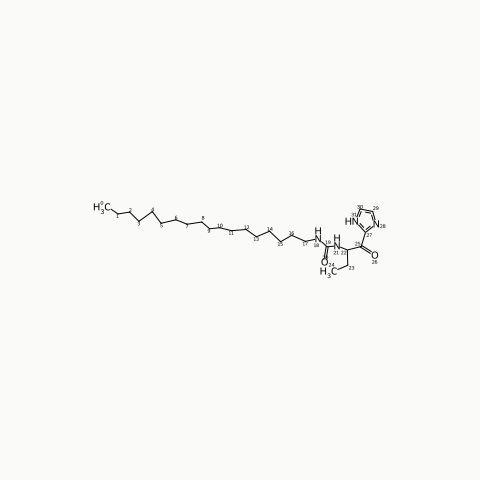 CCCCCCCCCCCCCCCCCCNC(=O)NC(CC)C(=O)c1ncc[nH]1